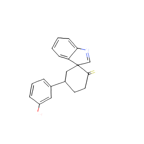 Oc1cccc(C2CCC(=S)C3(C=Nc4ccccc43)C2)c1